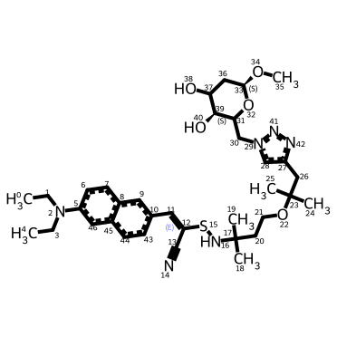 CCN(CC)c1ccc2cc(/C=C(\C#N)SNC(C)(C)CCOC(C)(C)Cc3cn(CC4O[C@H](OC)CC(O)[C@@H]4O)nn3)ccc2c1